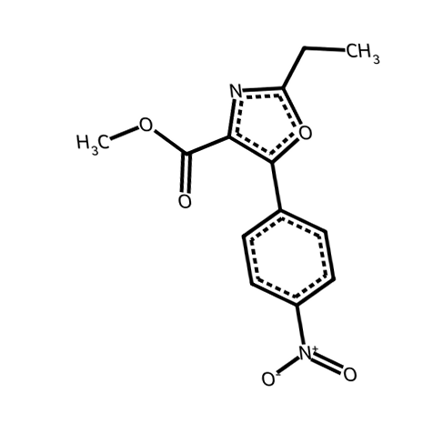 CCc1nc(C(=O)OC)c(-c2ccc([N+](=O)[O-])cc2)o1